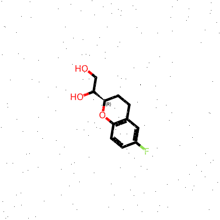 OCC(O)[C@H]1CCc2cc(F)ccc2O1